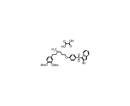 COc1ccc(CCN(C)CCCOc2ccc(S(=O)(=O)c3c(C(C)C)cc4ccccn34)cc2)cc1OC.O=C(O)C(=O)O